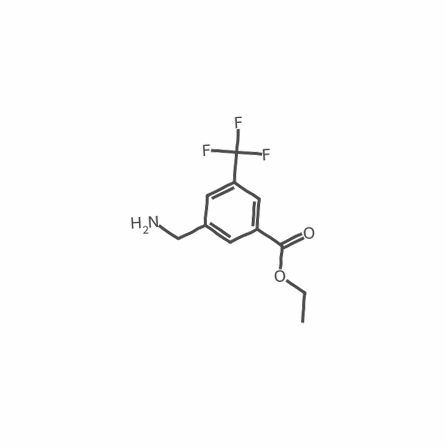 CCOC(=O)c1cc(CN)cc(C(F)(F)F)c1